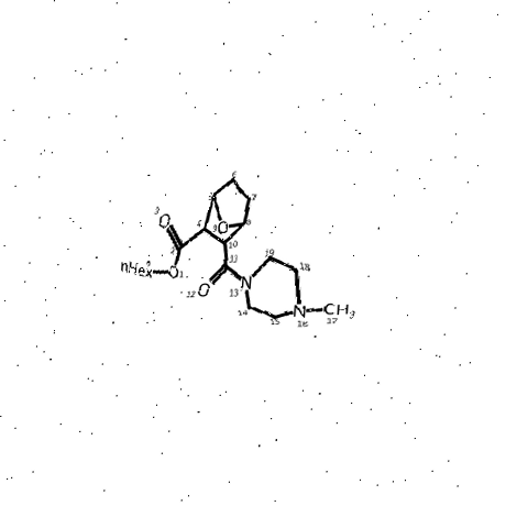 CCCCCCOC(=O)C1C2CCC(O2)C1C(=O)N1CCN(C)CC1